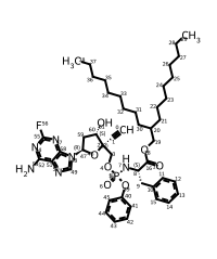 C#C[C@]1(CO[P@@](=O)(N[C@@H](Cc2ccccc2)C(=O)OCC(CCCCCCCCC)CCCCCCCCC)Oc2ccccc2)O[C@@H](n2cnc3c(N)nc(F)nc32)C[C@@H]1O